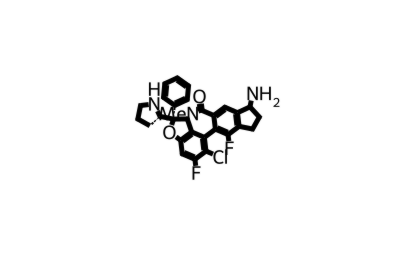 CNC(=O)c1cc2c(c(F)c1-c1c(Cl)c(F)cc3c1C[C@](c1ccccc1)([C@@H]1CCCN1)O3)CCC2N